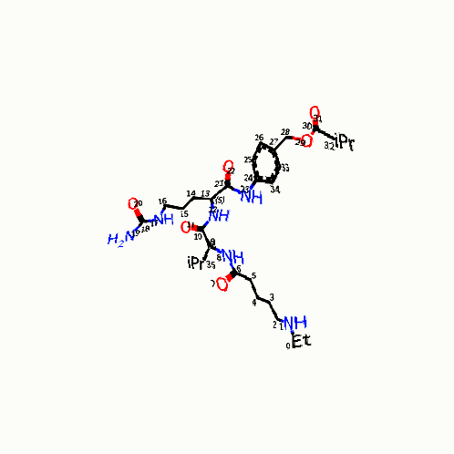 CCNCCCCC(=O)N[C@H](C(=O)N[C@@H](CCCNC(N)=O)C(=O)Nc1ccc(COC(=O)C(C)C)cc1)C(C)C